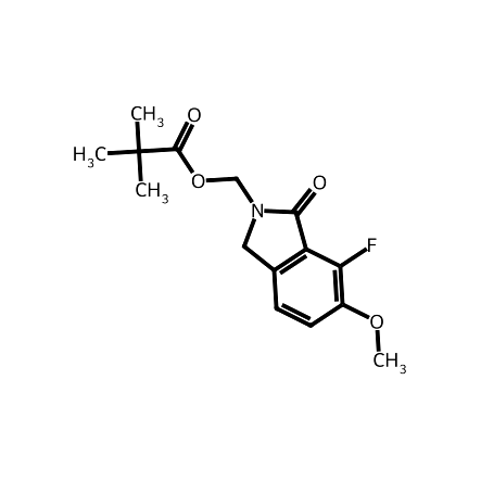 COc1ccc2c(c1F)C(=O)N(COC(=O)C(C)(C)C)C2